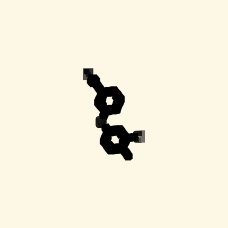 Cc1ccc(Oc2cccc(C#N)c2)cc1Cl